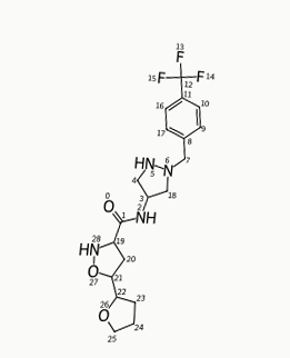 O=C(NC1CNN(Cc2ccc(C(F)(F)F)cc2)C1)C1CC(C2CCCO2)ON1